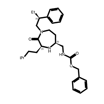 CC[C@H](CN1CC[C@@H](CNC(=O)OCc2ccccc2)N[C@@H](CCC(C)C)C1=O)c1ccccc1